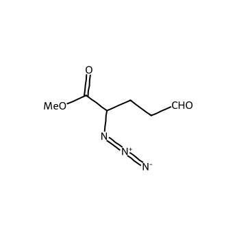 COC(=O)C(CCC=O)N=[N+]=[N-]